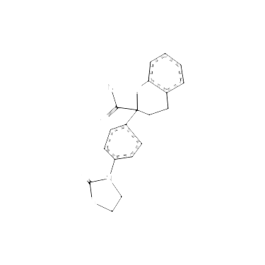 NC(=O)C1(c2ccc(N3CCOC3=O)cc2)CCc2ccccc2O1